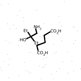 CCC(O)(CC)CN.O=C(O)CCCC(=O)O